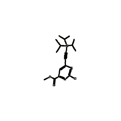 COC(=O)c1cc(C#C[Si](C(C)C)(C(C)C)C(C)C)nc(Cl)n1